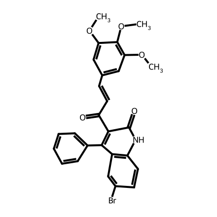 COc1cc(/C=C/C(=O)c2c(-c3ccccc3)c3cc(Br)ccc3[nH]c2=O)cc(OC)c1OC